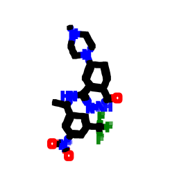 CC(Nc1n[nH]c(=O)c2ccc(N3CCN(C)CC3)cc12)c1cc([N+](=O)[O-])cc(C(F)(F)F)c1